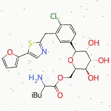 CCC(C)C(N)C(=O)OC[C@H]1O[C@@H](c2ccc(Cl)c(Cc3ncc(-c4ccco4)s3)c2)[C@H](O)[C@H](O)[C@H]1O